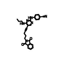 CCCNc1nc(Nc2ccc(C#N)cc2)ncc1C#CCCCN1C(=O)c2ccccc2C1=O